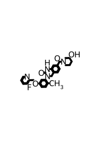 Cc1ccc(OCc2ncccc2F)cc1N1Cc2ccc(C(=O)N3CCCC(O)C3)cc2NC1=O